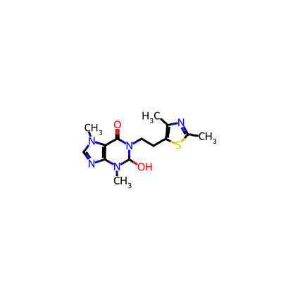 Cc1nc(C)c(CCN2C(=O)c3c(ncn3C)N(C)C2O)s1